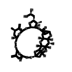 C=C1C[C@@H]2CC[C@@]34C[C@H]5O[C@H]6[C@@H](O3)[C@H]3OC(CC[C@@H]3O[C@H]6C5O4)CC(=O)C[C@H]3C(C[C@H]4O[C@@H](CCC1O2)C[C@@H](C)C4=C)O[C@H](C[C@H](O)CC)[C@@H]3C